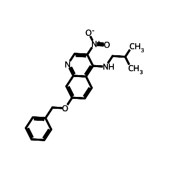 CC(C)CNc1c([N+](=O)[O-])cnc2cc(OCc3ccccc3)ccc12